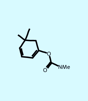 CNC(=O)OC1=CC=CC(C)(C)C1